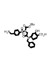 CC(C)(C)OC(=O)N(CC(=O)N(Cc1ccccc1)c1ccc(C(=O)O)c(O)c1)S(=O)(=O)c1ccc(CN)cc1